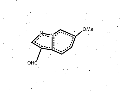 COc1ccc2c(C=O)cnn2c1